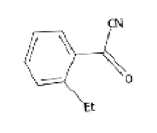 CCc1ccccc1C(=O)C#N